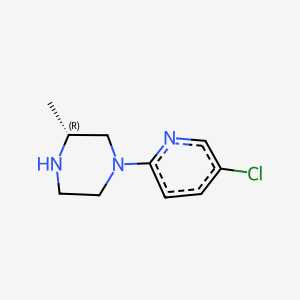 C[C@@H]1CN(c2ccc(Cl)cn2)CCN1